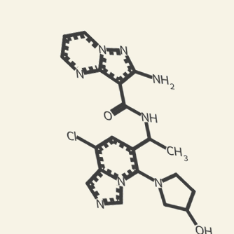 CC(NC(=O)c1c(N)nn2cccnc12)c1cc(Cl)c2cncn2c1N1CCC(O)C1